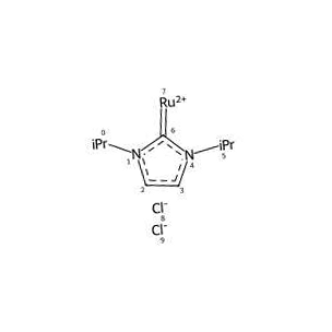 CC(C)n1ccn(C(C)C)[c]1=[Ru+2].[Cl-].[Cl-]